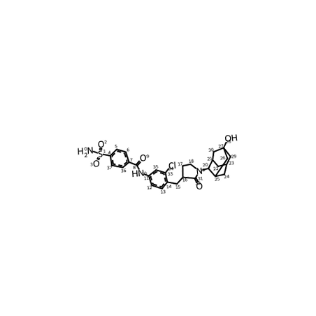 NS(=O)(=O)c1ccc(C(=O)Nc2ccc(CC3CCN(C4C5CC6CC4CC(O)(C6)C5)C3=O)c(Cl)c2)cc1